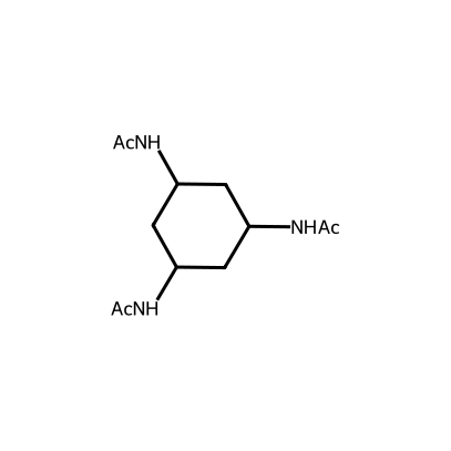 CC(=O)NC1CC(NC(C)=O)CC(NC(C)=O)C1